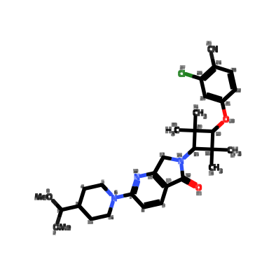 COC(OC)C1CCN(c2ccc3c(n2)CN(C2C(C)(C)C(Oc4ccc(C#N)c(Cl)c4)C2(C)C)C3=O)CC1